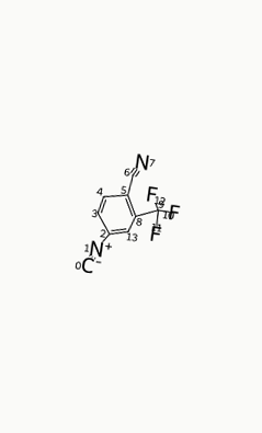 [C-]#[N+]c1ccc(C#N)c(C(F)(F)F)c1